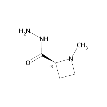 CN1CC[C@H]1C(=O)NN